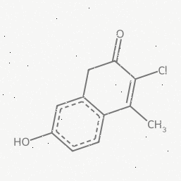 CC1=C(Cl)C(=O)Cc2cc(O)ccc21